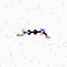 CC(C)(C)Cc1nnc(C23CC(C4CN(C(=O)OC(C)(C)C)C4)(C2)C3)o1